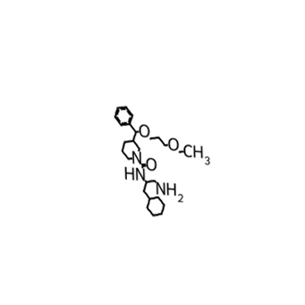 CCOCCCOC(c1ccccc1)C1CCCN(C(=O)NC(CN)CC2CCCCC2)C1